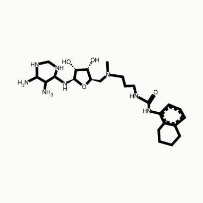 CN(CCCNC(=O)Nc1cccc2c1CCCC2)C[C@H]1O[C@@H](NC2NCNC(N)C2N)[C@H](O)[C@@H]1O